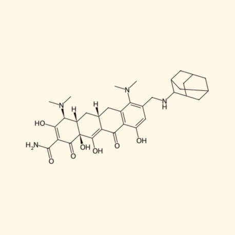 CN(C)c1c(CNC2C3CC4CC(C3)CC2C4)cc(O)c2c1C[C@H]1C[C@H]3[C@H](N(C)C)C(O)=C(C(N)=O)C(=O)[C@@]3(O)C(O)=C1C2=O